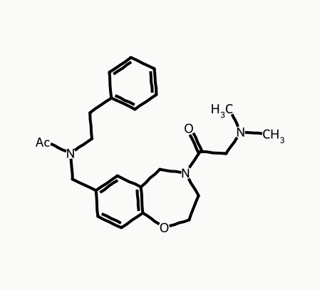 CC(=O)N(CCc1ccccc1)Cc1ccc2c(c1)CN(C(=O)CN(C)C)CCO2